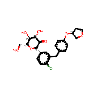 O=C1[C@H](c2ccc(Cl)c(Cc3ccc(O[C@H]4CCOC4)cc3)c2)O[C@H](CO)[C@@H](O)[C@@H]1O